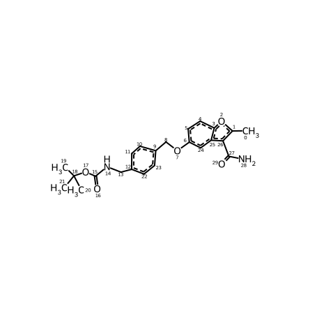 Cc1oc2ccc(OCc3ccc(CNC(=O)OC(C)(C)C)cc3)cc2c1C(N)=O